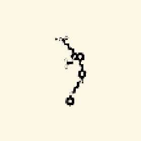 O=C(O)CCCCc1cn(CC(=O)O)c2c(/C=C/c3ccc(OCCCCOc4ccccc4)cc3)cccc12